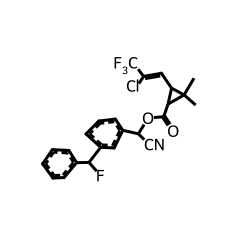 CC1(C)C(C=C(Cl)C(F)(F)F)C1C(=O)OC(C#N)c1cccc(C(F)c2ccccc2)c1